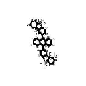 CC12CCCCC1(C)c1cc(-c3c4ccccc4c(-c4ccc5c(c4)C4(C)CCCCC4(C)S5)c4ccccc34)ccc1S2